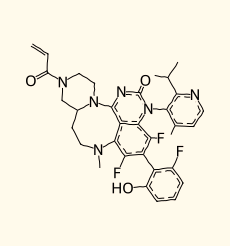 C=CC(=O)N1CCN2c3nc(=O)n(-c4c(C)ccnc4C(C)C)c4c(F)c(-c5c(O)cccc5F)c(F)c(c34)N(C)CCC2C1